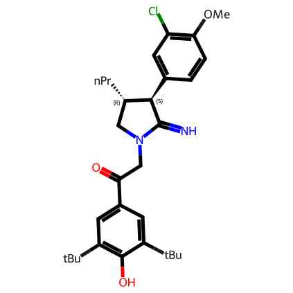 CCC[C@H]1CN(CC(=O)c2cc(C(C)(C)C)c(O)c(C(C)(C)C)c2)C(=N)[C@@H]1c1ccc(OC)c(Cl)c1